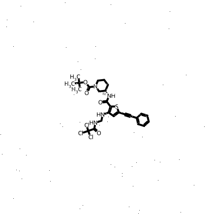 CC(C)(C)OC(=O)N1CCC[C@H](NC(=O)c2sc(C#Cc3ccccc3)cc2NCNC(=O)C(Cl)(Cl)Cl)C1